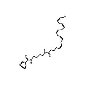 CC/C=C\C/C=C\C/C=C\C/C=C\C/C=C\CCCC(=O)NCCCCNC(=O)c1cccnc1